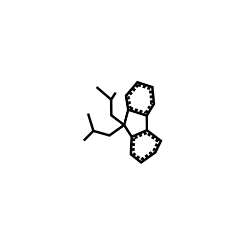 CC(C)CC1(CC(C)C)c2ccccc2-c2ccccc21